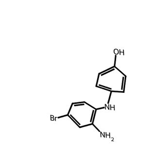 Nc1cc(Br)ccc1Nc1ccc(O)cc1